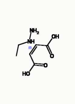 CCNN.O=C(O)/C=C\C(=O)O